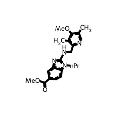 CCCn1c(NCc2ncc(C)c(OC)c2C)nc2cc(C(=O)OC)ccc21